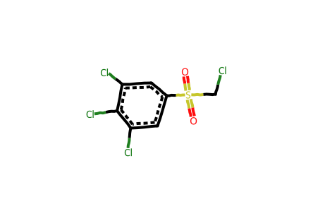 O=S(=O)(CCl)c1cc(Cl)c(Cl)c(Cl)c1